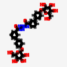 O=C(NNNC(=O)c1cccc(-c2ccc(OC3OC(CO)C(O)C(O)C3O)cc2)c1)c1cccc(-c2ccc(OC3OC(CO)C(O)C(O)C3O)cc2)c1